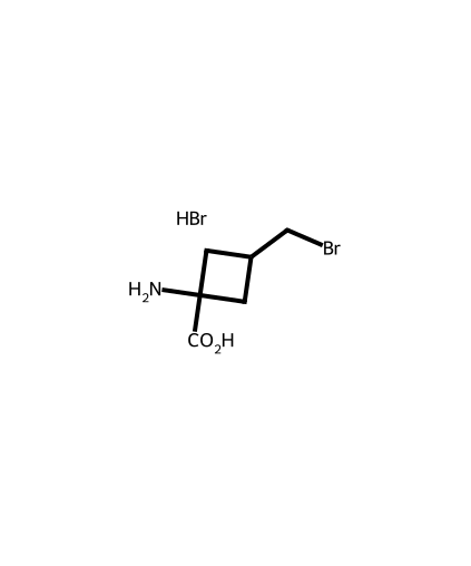 Br.NC1(C(=O)O)CC(CBr)C1